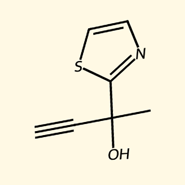 C#CC(C)(O)c1nccs1